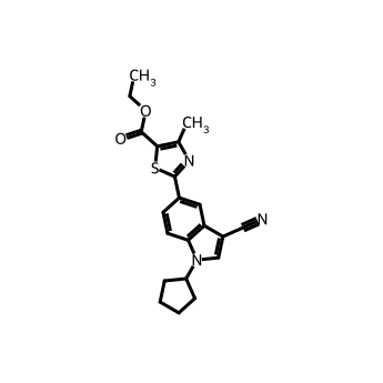 CCOC(=O)c1sc(-c2ccc3c(c2)c(C#N)cn3C2CCCC2)nc1C